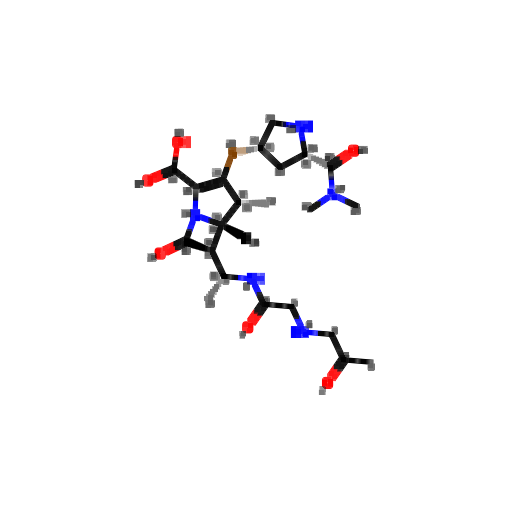 CC(=O)CNCC(=O)N[C@H](C)[C@H]1C(=O)N2C(C(=O)O)=C(S[C@@H]3CN[C@H](C(=O)N(C)C)C3)[C@H](C)[C@H]12